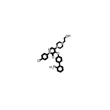 Nc1ccccc1-c1ccc(Oc2c(N3CCN(CCO)CC3)cnn(-c3ccc(Cl)cc3)c2=O)cc1